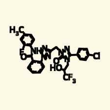 Cc1ccc(NC(=O)c2ccccc2-n2cnc(Cn3nc(-c4ccc(Cl)cc4)n(CC(O)C(F)(F)F)c3=O)n2)c(F)c1